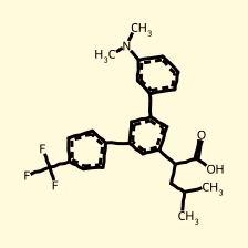 CC(C)CC(C(=O)O)c1cc(-c2ccc(C(F)(F)F)cc2)cc(-c2cccc(N(C)C)c2)c1